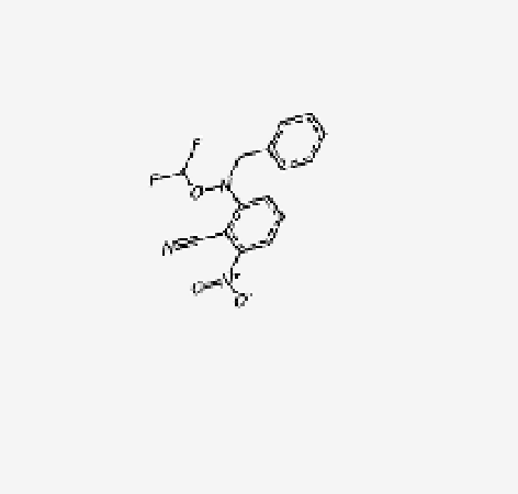 N#Cc1c(N(Cc2ccccc2)OC(F)F)cccc1[N+](=O)[O-]